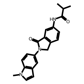 CC(C)C(=O)Nc1ccc2c(c1)C(=O)N(c1ccc3c(ccn3C)c1)C2